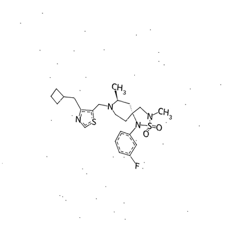 C[C@H]1C[C@]2(CCN1Cc1scnc1CC1CCC1)CN(C)S(=O)(=O)N2c1cccc(F)c1